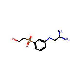 NC(N)CNc1cccc(S(=O)(=O)CCO)c1